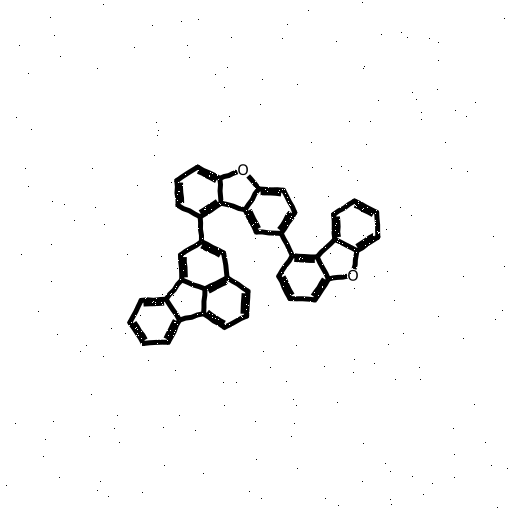 c1ccc2c(c1)-c1cccc3cc(-c4cccc5oc6ccc(-c7cccc8oc9ccccc9c78)cc6c45)cc-2c13